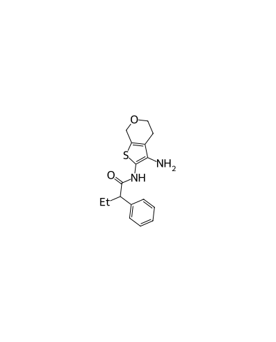 CCC(C(=O)Nc1sc2c(c1N)CCOC2)c1ccccc1